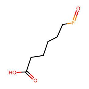 O=PCCCCCC(=O)O